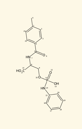 Cc1ccc(C(=O)NC(COP(=O)(O)Nc2ccccc2)C(=O)O)cc1